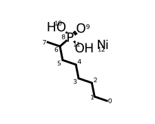 CCCCCCC(C)P(=O)(O)O.[Ni]